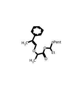 CCCCCC(CC)OC(=O)C(C)OC=C(C)c1ccccc1